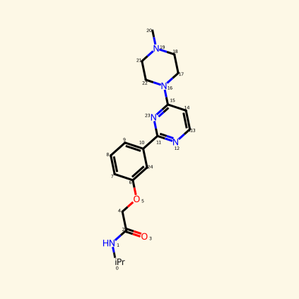 CC(C)NC(=O)COc1cccc(-c2n[c]cc(N3CCN(C)CC3)n2)c1